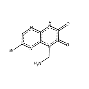 NCn1c(=O)c(=O)[nH]c2ncc(Br)nc21